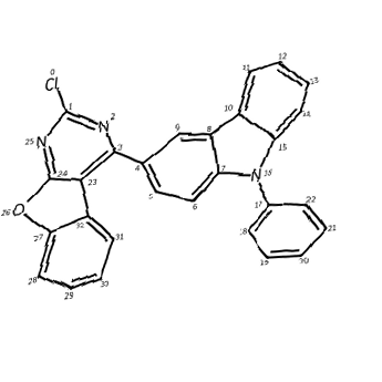 Clc1nc(-c2ccc3c(c2)c2ccccc2n3-c2ccccc2)c2c(n1)oc1ccccc12